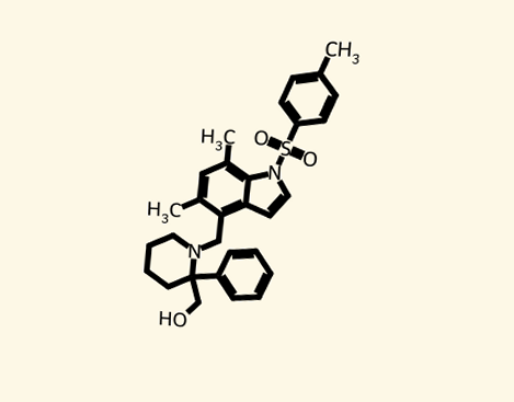 Cc1ccc(S(=O)(=O)n2ccc3c(CN4CCCCC4(CO)c4ccccc4)c(C)cc(C)c32)cc1